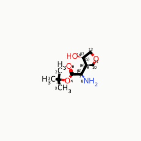 CC(C)(C)OC(=O)[C@H](N)[C@@H]1COC[C@H]1O